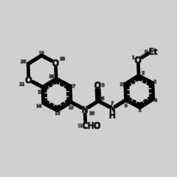 CCOc1cccc(NC(=O)N(C=O)c2ccc3c(c2)OCCO3)c1